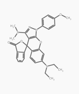 CCN(CC)c1ccc2c(c1)Oc1c(c(N(C)C)nn1-c1ccc(OC)cc1)C21OC(=O)c2ccccc21